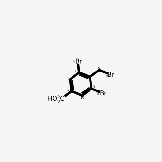 O=C(O)c1cc(Br)c(CBr)c(Br)c1